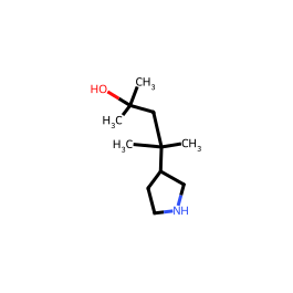 CC(C)(O)CC(C)(C)C1CCNC1